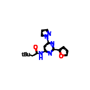 CC(C)(C)CC(=O)Nc1cc(-n2cccn2)nc(-c2ccco2)n1